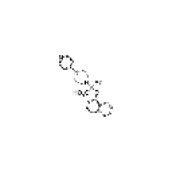 CC(=O)C(Oc1cccc2ccccc12)(C(=O)O)N1CCN(c2ccncc2)CC1